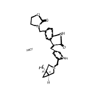 Cl.O=C1Nc2ccc(CN3CCOC3=O)cc2C1=Cc1c[nH]c(CN2C[C@H]3C[C@H]3C2)c1